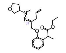 C=CC/C(COc1ccccc1C(C)C(=O)OCC)=N\N(C)C1CCOC1